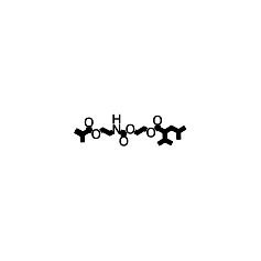 C=C(C)C(=O)OCCNC(=O)OCCOC(=O)C(CC(C)C)C(C)C